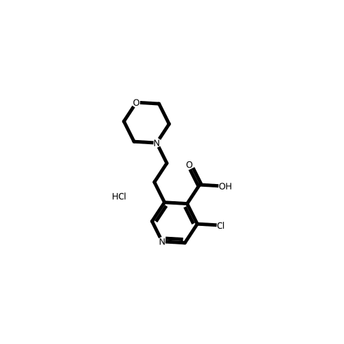 Cl.O=C(O)c1c(Cl)cncc1CCN1CCOCC1